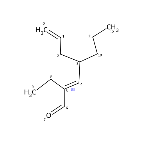 C=CCC(/C=C(/C=O)CC)CCC